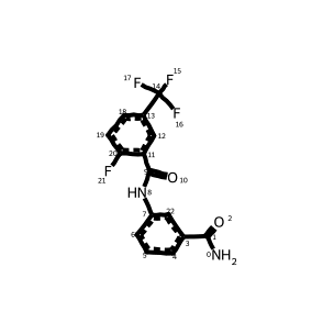 NC(=O)c1cccc(NC(=O)c2cc(C(F)(F)F)ccc2F)c1